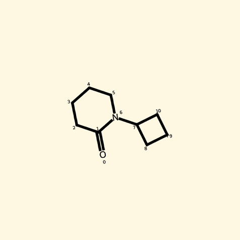 O=C1CCCCN1C1C[CH]C1